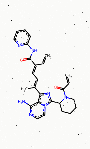 C=CC(=O)N1CCCCC1c1nc(/C(C)=C/C=C(\C=C)C(=O)Nc2ccccn2)c2c(N)nccn12